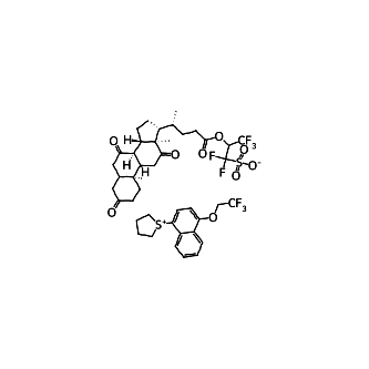 C[C@H](CCC(=O)OC(C(F)(F)F)C(F)(F)S(=O)(=O)[O-])[C@H]1CC[C@H]2[C@@H]3C(=O)CC4CC(=O)CC[C@]4(C)[C@H]3CC(=O)[C@]12C.FC(F)(F)COc1ccc([S+]2CCCC2)c2ccccc12